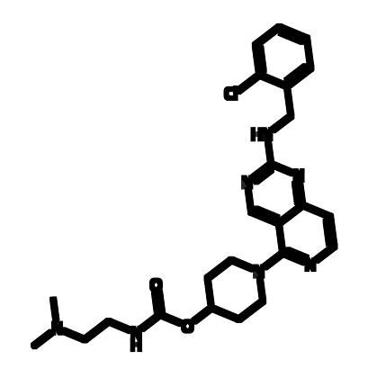 CN(C)CCNC(=O)OC1CCN(c2nccc3nc(NCc4ccccc4Cl)ncc23)CC1